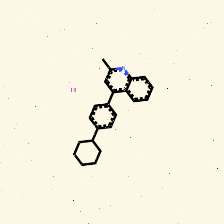 Cc1cc(-c2ccc(C3CCCCC3)cc2)c2ccccc2n1.I